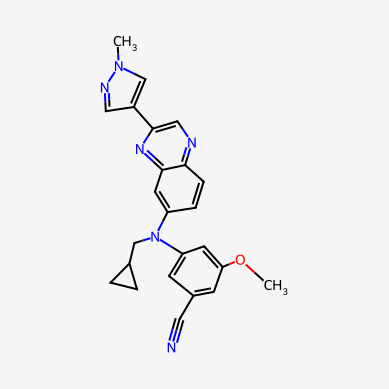 COc1cc(C#N)cc(N(CC2CC2)c2ccc3ncc(-c4cnn(C)c4)nc3c2)c1